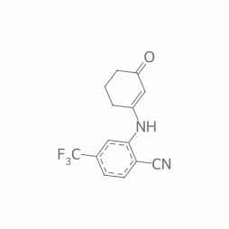 N#Cc1ccc(C(F)(F)F)cc1NC1=CC(=O)CCC1